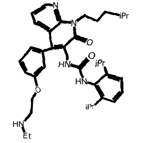 CCNCCOc1cccc(-c2c(NC(=O)Nc3c(C(C)C)cccc3C(C)C)c(=O)n(CCCC(C)C)c3ncccc23)c1